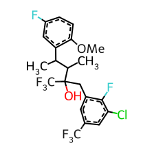 COc1ccc(F)cc1C(C)C(C)C(O)(Cc1cc(C(F)(F)F)cc(Cl)c1F)C(F)(F)F